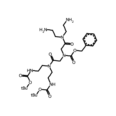 CC(C)(C)OC(=O)NCCN(CCNC(=O)OC(C)(C)C)C(=O)CN(CC(=O)N(CCN)CCN)C(=O)OCc1ccccc1